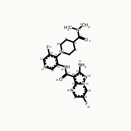 CN(C)C(=O)C1CCN(c2c(F)cncc2NC(=O)c2c(N)nn3cc(F)cnc23)CC1